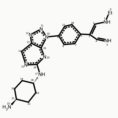 CCN/C=C(\C=N)c1ccc(-n2nnc3cnc(N[C@H]4CC[C@H](N)CC4)nc32)cc1